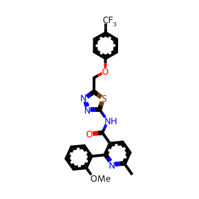 COc1ccccc1-c1nc(C)ccc1C(=O)Nc1nnc(COc2ccc(C(F)(F)F)cc2)s1